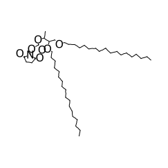 CCCCCCCCCCCCCCCCCCOCC(OCCCCCCCCCCCCCCCCCC)C(C)OC(=O)ON1C(=O)CCC1=O